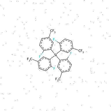 Fc1ccc(C(F)(F)F)cc1[Si](c1cc(C(F)(F)F)ccc1F)(c1cc(C(F)(F)F)ccc1F)c1cc(C(F)(F)F)ccc1F